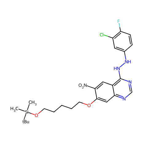 CC(C)(C)[Si](C)(C)OCCCCCOc1cc2ncnc(NNc3ccc(F)c(Cl)c3)c2cc1[N+](=O)[O-]